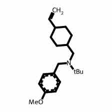 C=CC1CCC(CN(Cc2ccc(OC)cc2)C(C)(C)C)CC1